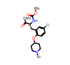 COC(=O)[C@H](Cc1cc(Cl)ccc1OC1CCN(C(C)=O)CC1)NC(=O)OC(C)(C)C